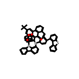 CC(C)(C)c1cc(-c2cccc3cccc(-c4ccccc4N(c4ccc(-c5cccc6sc7ccccc7c56)cc4)c4cccc5c6ccccc6n(-c6ccccc6)c45)c23)cc(C(C)(C)C)c1